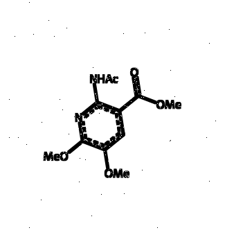 COC(=O)c1cc(OC)c(OC)nc1NC(C)=O